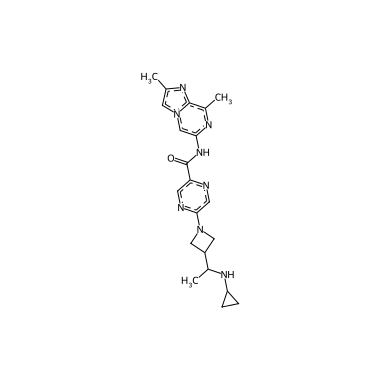 Cc1cn2cc(NC(=O)c3cnc(N4CC(C(C)NC5CC5)C4)cn3)nc(C)c2n1